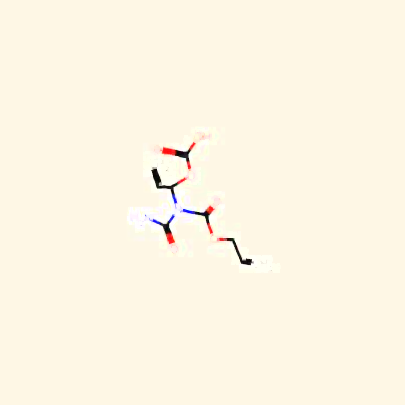 C=CCOC(=O)N(C(N)=O)C(C=C)OC(=O)O